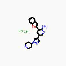 Cl.Cl.Nc1ncc(-c2cnn(C3CCNCC3)c2)cc1-c1cc2ccccc2o1